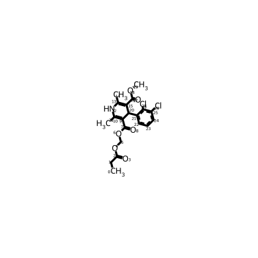 CCC(=O)OCOC(=O)C1=C(C)NC(C)=C(C(=O)OC)C1c1cccc(Cl)c1Cl